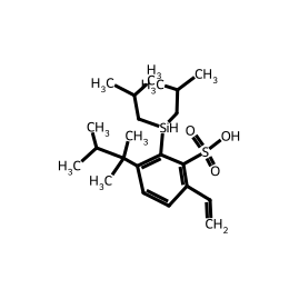 C=Cc1ccc(C(C)(C)C(C)C)c([SiH](CC(C)C)CC(C)C)c1S(=O)(=O)O